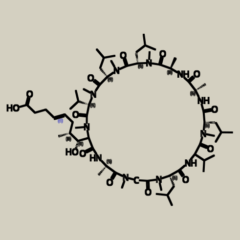 CC(C)C[C@H]1C(=O)NC(C(C)C)C(=O)N(C)[C@@H](CC(C)C)C(=O)N[C@@H](C)C(=O)N[C@H](C)C(=O)N(C)[C@@H](CC(C)C)C(=O)N(C)[C@@H](CC(C)C)C(=O)N(C)[C@@H](C(C)C)C(=O)N(C)C([C@H](O)[C@H](C)C/C=C/CCC(=O)O)C(=O)N[C@@H](C)C(=O)N(C)CC(=O)N1C